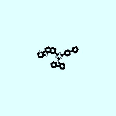 c1ccc(-c2ccc(-c3nc(-c4ccc5ccc6c7ncccc7oc6c5c4)nc(-n4c5ccccc5c5ccccc54)n3)cc2)cc1